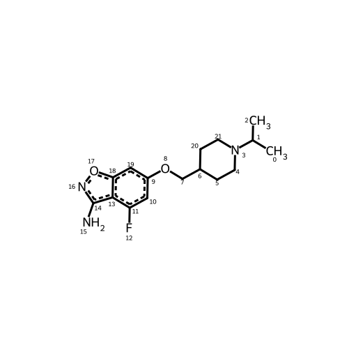 CC(C)N1CCC(COc2cc(F)c3c(N)noc3c2)CC1